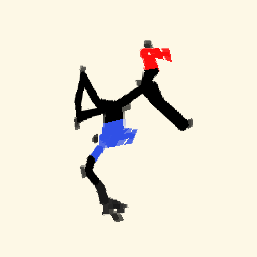 C=C(O)C1(NCC(C)C)CC1